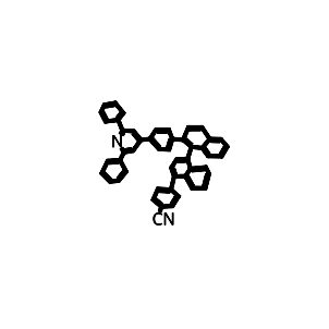 N#Cc1ccc(-c2ccc(-c3c(-c4ccc(-c5cc(-c6ccccc6)nc(-c6ccccc6)c5)cc4)ccc4ccccc34)c3ccccc23)cc1